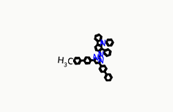 Cc1ccc(-c2ccc(-c3cc(-c4ccc(C5=CCCC=C5)cc4)nc(-n4c5ccccc5c5c4ccc4c6ccccc6n(-c6ccccc6)c45)n3)cc2)cc1